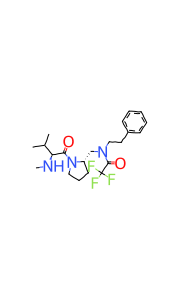 CN[C@H](C(=O)N1CCC[C@H]1CN(CCc1ccccc1)C(=O)C(F)(F)F)C(C)C